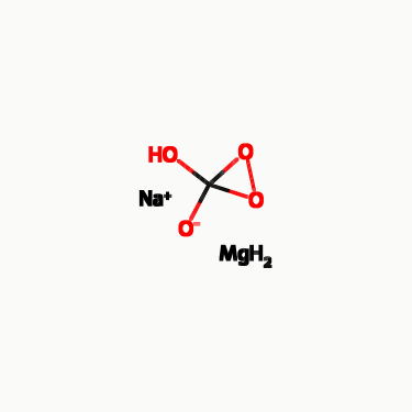 [MgH2].[Na+].[O-]C1(O)OO1